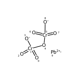 [O]=[Cr](=[O])([O-])[O][Cr](=[O])(=[O])[O-].[Pb+2]